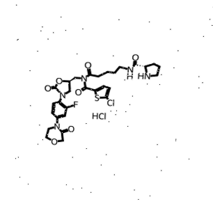 Cl.O=C(NCCCCC(=O)N(C[C@H]1CN(c2ccc(N3CCOCC3=O)cc2F)C(=O)O1)C(=O)c1ccc(Cl)s1)[C@@H]1CCCN1